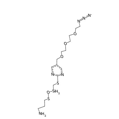 [N-]=[N+]=NCCOCCOCCOCc1cnc(SC[SiH2]OSCCCN)nc1